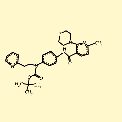 Cc1ccc(C(=O)Nc2ccc(N(CCc3ccccn3)C(=O)OC(C)(C)C)cc2)c(N2CCSCC2)n1